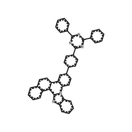 c1ccc(-c2nc(-c3ccccc3)nc(-c3ccc(-c4ccc5c(c4)c4ccc6ccccc6c4c4nc6ccccc6n54)cc3)n2)cc1